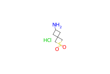 Cl.NC1CC2(C1)CS(=O)(=O)C2